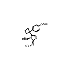 CCCCN=c1scc(C2(c3ccc(SC)cc3)CCC2)n1CCCC